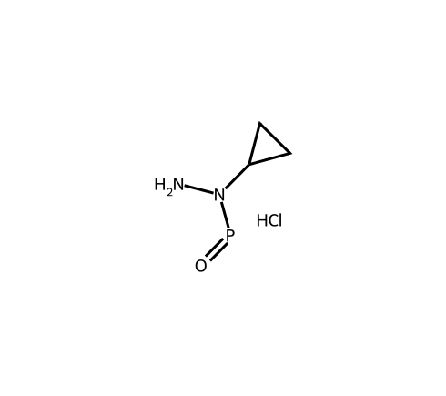 Cl.NN(P=O)C1CC1